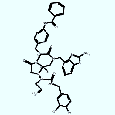 C=CCN(C(=O)NCC1=CC(Cl)C(Cl)C=C1)N1CC(=O)N2[C@@H](Cc3ccc(NC(=O)c4ccccc4)cc3)C(=O)N(Cc3cccc4sc(N)nc34)C[C@@H]21